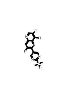 CP(C)(=O)c1ncc(-c2nc3c(Cl)c(Cl)cnc3cc2F)cn1